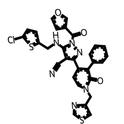 N#Cc1c(-c2ccn(Cc3cscn3)c(=O)c2-c2ccccc2)nn(C(=O)c2ccoc2)c1NCc1ccc(Cl)s1